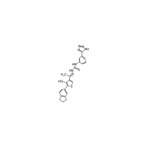 C/C(=N\NC(=S)Nc1cccc(-c2nnn[nH]2)c1)c1csc(-c2ccc3c(c2)CCC3)c1O